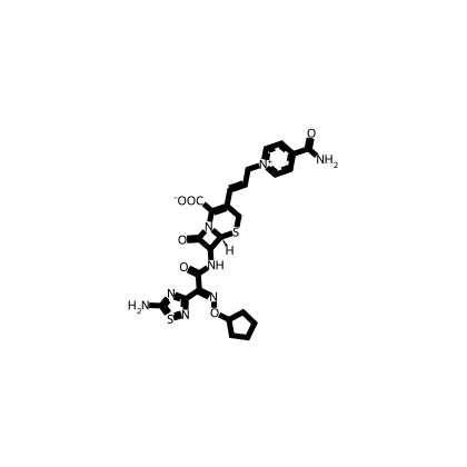 NC(=O)c1cc[n+](CC=CC2=C(C(=O)[O-])N3C(=O)C(NC(=O)C(=NOC4CCCC4)c4nsc(N)n4)[C@@H]3SC2)cc1